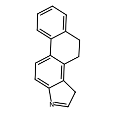 C1=Nc2ccc3c(c2C1)CCc1ccccc1-3